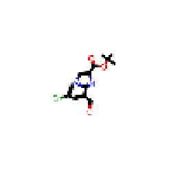 CC(C)(C)OC(=O)c1cn2cc(Br)cc(C=O)c2n1